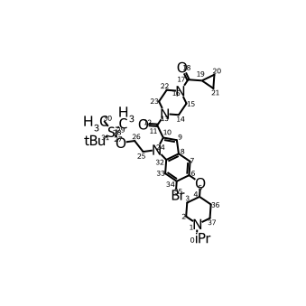 CC(C)N1CCC(Oc2cc3cc(C(=O)N4CCN(C(=O)C5CC5)CC4)n(CCO[Si](C)(C)C(C)(C)C)c3cc2Br)CC1